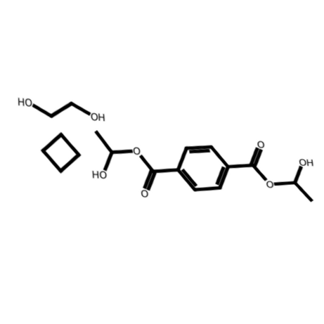 C1CCC1.CC(O)OC(=O)c1ccc(C(=O)OC(C)O)cc1.OCCO